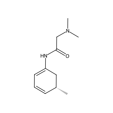 C[C@@H]1C=CC=C(NC(=O)CN(C)C)C1